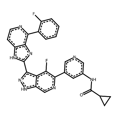 O=C(Nc1cncc(-c2ncc3[nH]nc(-c4nc5c(-c6ccccc6F)nccc5[nH]4)c3c2F)c1)C1CC1